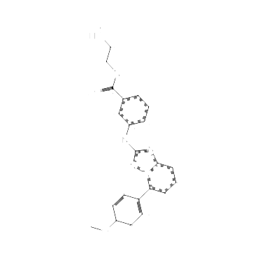 COC1C=CC(c2cccc3nc(Nc4cccc(C(=O)NCCO)c4)nn23)=CC1